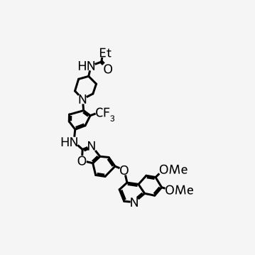 CCC(=O)NC1CCN(c2ccc(Nc3nc4cc(Oc5ccnc6cc(OC)c(OC)cc56)ccc4o3)cc2C(F)(F)F)CC1